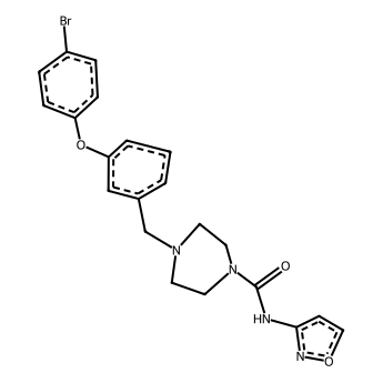 O=C(Nc1ccon1)N1CCN(Cc2cccc(Oc3ccc(Br)cc3)c2)CC1